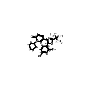 CC(C)(O)c1nc(-c2ccc(=O)n(C3CCCCC3)c2)c(-c2ccc(F)cc2F)o1